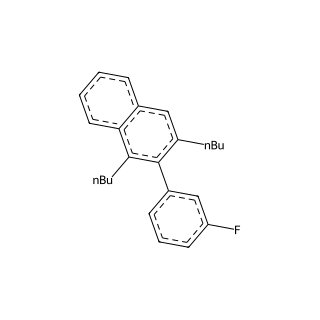 CCCCc1cc2ccccc2c(CCCC)c1-c1cccc(F)c1